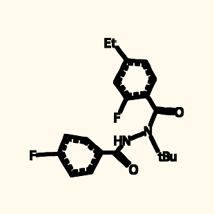 CCc1ccc(C(=O)N(NC(=O)c2ccc(F)cc2)C(C)(C)C)c(F)c1